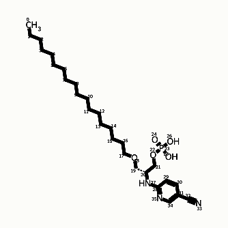 CCCCCCCCCCCCCCCCCCOC[C@H](COP(=O)(O)O)Nc1ccc(C#N)cn1